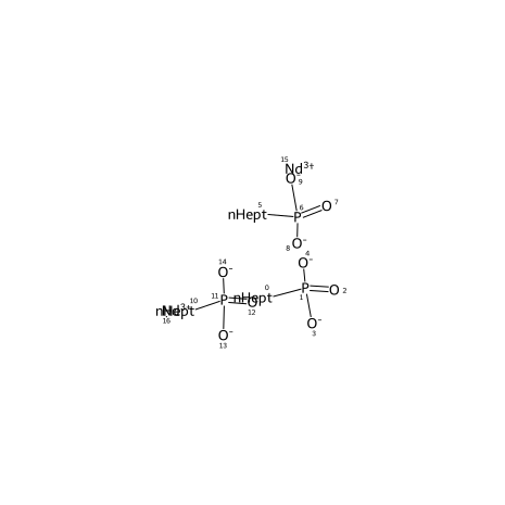 CCCCCCCP(=O)([O-])[O-].CCCCCCCP(=O)([O-])[O-].CCCCCCCP(=O)([O-])[O-].[Nd+3].[Nd+3]